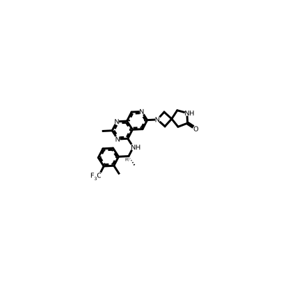 Cc1nc(N[C@H](C)c2cccc(C(F)(F)F)c2C)c2cc(N3CC4(CNC(=O)C4)C3)ncc2n1